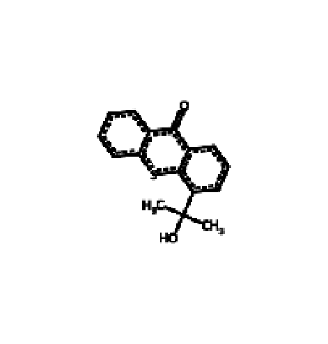 CC(C)(O)c1cccc2c(=O)c3ccccc3sc12